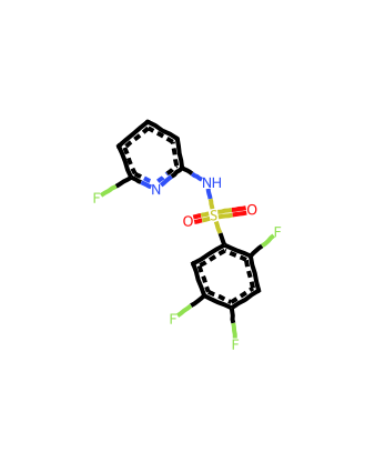 O=S(=O)(Nc1cccc(F)n1)c1cc(F)c(F)cc1F